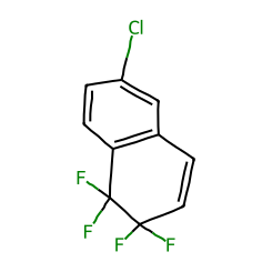 FC1(F)C=Cc2cc(Cl)ccc2C1(F)F